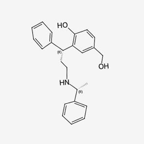 C[C@@H](NCC[C@H](c1ccccc1)c1cc(CO)ccc1O)c1ccccc1